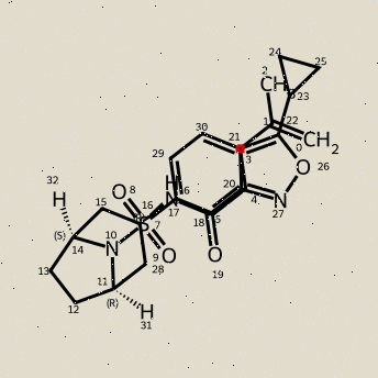 C=C(C)c1ccc(S(=O)(=O)N2[C@@H]3CC[C@H]2C[C@@H](NC(=O)c2cc(C4CC4)on2)C3)cc1